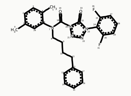 Cc1ccc(C)c(N(CCCCc2ccccc2)C(=O)n2nnn(-c3c(F)cccc3F)c2=O)c1